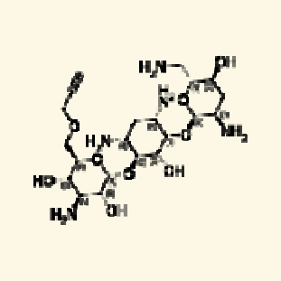 C#CCOC[C@H]1O[C@H](O[C@@H]2[C@@H](O)[C@H](O[C@H]3O[C@H](CN)[C@@H](O)C[C@H]3N)[C@@H](N)C[C@H]2N)[C@H](O)[C@@H](N)[C@@H]1O